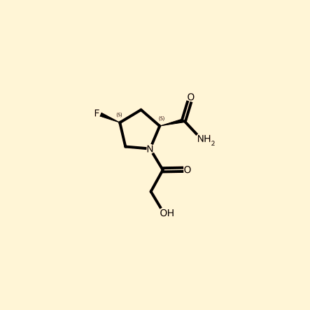 NC(=O)[C@@H]1C[C@H](F)CN1C(=O)CO